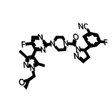 Cc1nn(CC2CO2)c(C)c1-c1nc(N2CCN(C(=O)N3N=CCC3c3cc(F)cc(C#N)c3)CC2)ncc1F